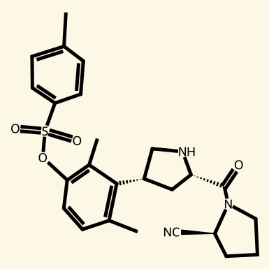 Cc1ccc(S(=O)(=O)Oc2ccc(C)c([C@@H]3CN[C@H](C(=O)N4CCC[C@H]4C#N)C3)c2C)cc1